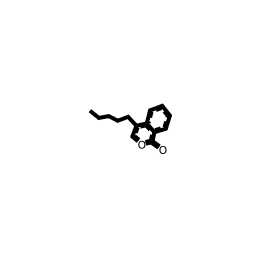 CCCCCc1coc(=O)c2ccccc12